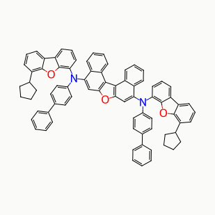 c1ccc(-c2ccc(N(c3cc4oc5cc(N(c6ccc(-c7ccccc7)cc6)c6cccc7c6oc6c(C8CCCC8)cccc67)c6ccccc6c5c4c4ccccc34)c3cccc4c3oc3c(C5CCCC5)cccc34)cc2)cc1